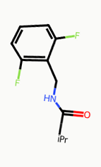 CC(C)C(=O)NCc1c(F)cccc1F